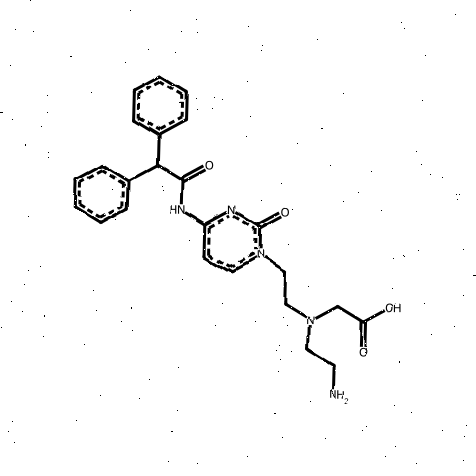 NCCN(CCn1ccc(NC(=O)C(c2ccccc2)c2ccccc2)nc1=O)CC(=O)O